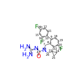 NC(N)=NC(=O)N1Cc2c(-c3ccc(F)cc3F)ccc(F)c2C2(CC2)C1